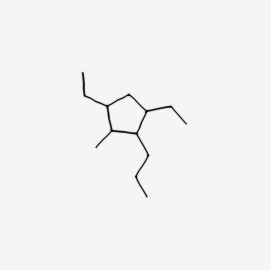 CCCC1C(CC)CC(CC)C1C